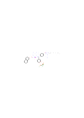 O=C(O)CCNC(=O)c1ccc(C(NC(=O)NCOc2ccc3ccccc3c2)c2ccc3c(c2)OC(F)(F)C(F)(F)O3)cc1